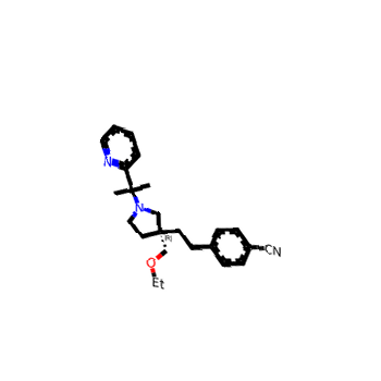 CCOC[C@]1(CCc2ccc(C#N)cc2)CCN(C(C)(C)c2ccccn2)C1